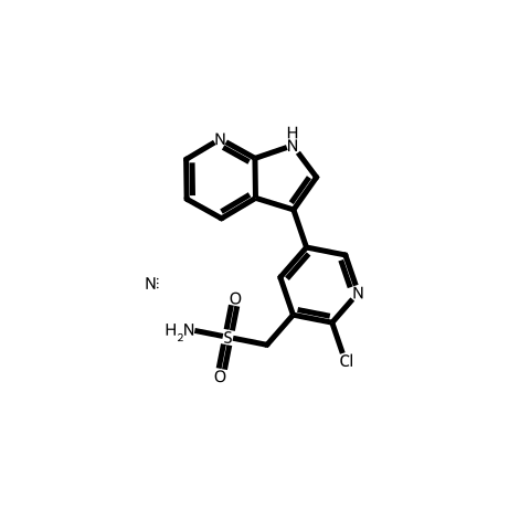 NS(=O)(=O)Cc1cc(-c2c[nH]c3ncccc23)cnc1Cl.[N]